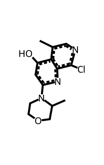 Cc1cnc(Cl)c2nc(N3CCOCC3C)cc(O)c12